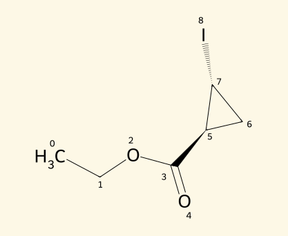 CCOC(=O)[C@@H]1C[C@H]1I